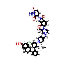 COc1cc([C@H]2c3ccc(O)cc3CC[C@H]2c2ccccc2)c(F)cc1N1CCC(CN2CCN3c4ccc5c(c4OC[C@H]3C2)CN([C@H]2CCC(=O)NC2=O)C5=O)CC1